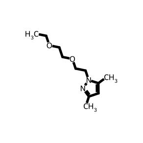 CCOCCOCCn1nc(C)cc1C